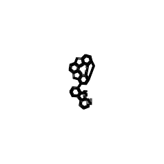 c1cnc2sc3c(-c4cc5c6c7c(ccc8c7c7c(ccc9c7c6c4C9)C8)C5)cccc3c2c1